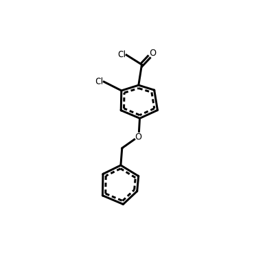 O=C(Cl)c1ccc(OCc2ccccc2)cc1Cl